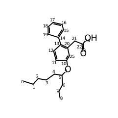 CCCCCC(CCC)Oc1ccc(-c2ccccc2)c(CC(=O)O)c1